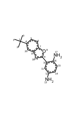 CC(C)(C)c1ccc2oc(-c3cc(N)ccc3N)nc2c1